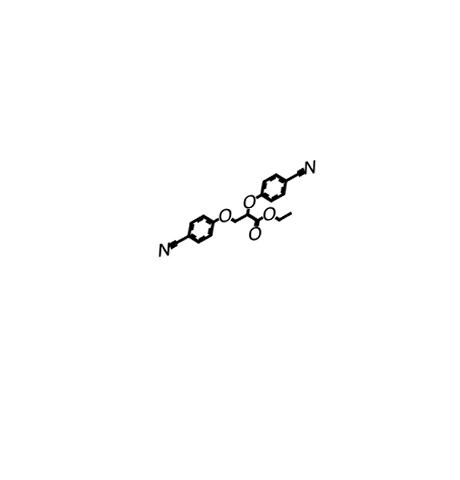 CCOC(=O)C(COc1ccc(C#N)cc1)Oc1ccc(C#N)cc1